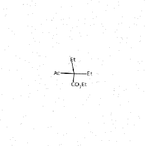 CCOC(=O)C(CC)(CC)C(C)=O